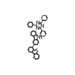 CC1(n2c3ccccc3c3cc(-c4cccc5c4sc4ccccc45)ccc32)C=C(c2nc(C3=CC=CCC3)nc(-c3ccccc3)n2)C=CC1